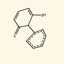 S=C1C=CC=C(S)C1c1ccccc1